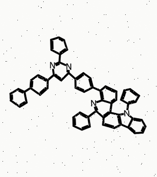 c1ccc(-c2ccc(-c3cc(-c4ccc(-c5cccc6c5nc(-c5ccccc5)c5ccc7c8ccccc8n(-c8ccccc8)c7c56)cc4)nc(-c4ccccc4)n3)cc2)cc1